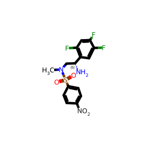 CN(C[C@@H](N)c1cc(F)c(F)cc1F)S(=O)(=O)c1ccc([N+](=O)[O-])cc1